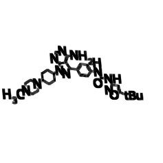 CN1CCN([C@H]2CC[C@H](n3nc(-c4ccc(NC(=O)Nc5cc(C(C)(C)C)on5)cc4)c4c(N)ncnc43)CC2)CC1